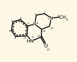 CN1CCN2c3ccccc3NC(=O)C2C1